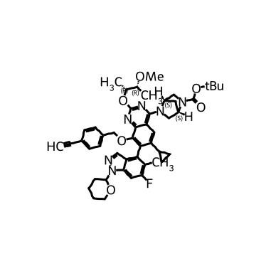 C#Cc1ccc(COc2c(-c3c(C)c(F)cc4c3cnn4C3CCCCO3)c(C3CC3)cc3c(N4C[C@@H]5C[C@H]4CN5C(=O)OC(C)(C)C)nc(O[C@H](C)[C@@H](C)OC)nc23)cc1